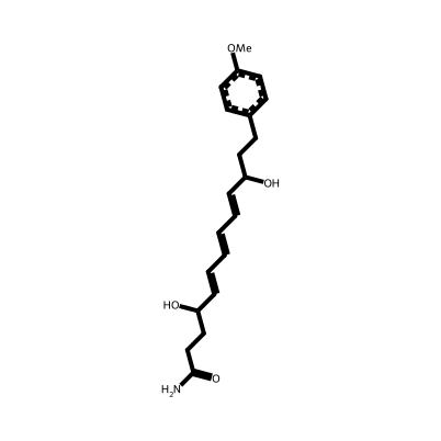 COc1ccc(CCC(O)/C=C/C=C/C=C/C(O)CCC(N)=O)cc1